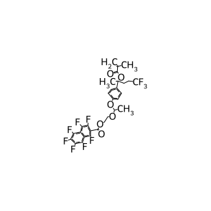 C=C(C)C(=O)OC(C)(CCC(F)(F)F)c1ccc(OC(C)OCCOC(=O)c2c(F)c(F)c3c(F)c(F)c(F)c(F)c3c2F)cc1